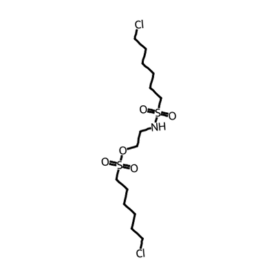 O=S(=O)(CCCCCCCl)NCCOS(=O)(=O)CCCCCCCl